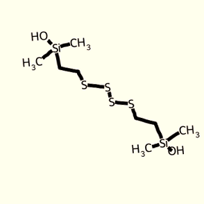 C[Si](C)(O)CCSSSSCC[Si](C)(C)O